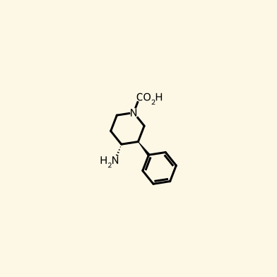 N[C@@H]1CCN(C(=O)O)C[C@H]1c1ccccc1